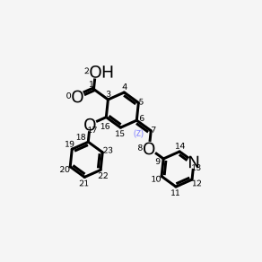 O=C(O)C1C=C/C(=C/Oc2cccnc2)C=C1Oc1ccccc1